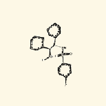 O=S(=O)(N[C@@H](c1ccccc1)[C@@H](NCl)c1ccccc1)c1ccc(F)cc1